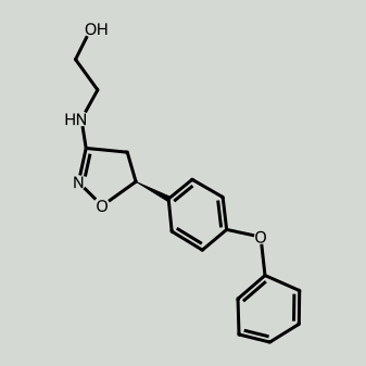 OCCNC1=NO[C@H](c2ccc(Oc3ccccc3)cc2)C1